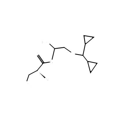 CC(COC(C1CC1)C1CC1)NC(=O)[C@@H](N)CC(=O)O